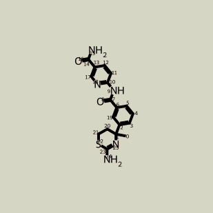 CC1(c2cccc(C(=O)Nc3ccc(C(N)=O)cn3)c2)CCSC(N)=N1